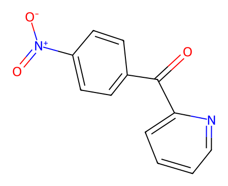 O=C(c1ccc([N+](=O)[O-])cc1)c1ccccn1